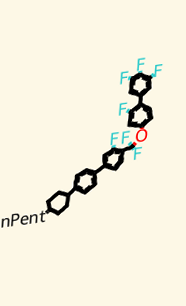 CCCCCC1CCC(c2ccc(-c3ccc(C(F)(F)Oc4ccc(-c5cc(F)c(F)c(F)c5)c(F)c4)c(F)c3)cc2)CC1